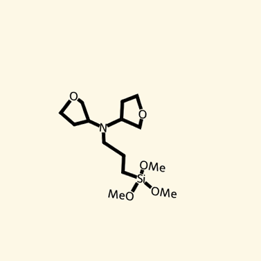 CO[Si](CCCN(C1CCOC1)C1CCOC1)(OC)OC